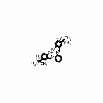 CC(C)(C)c1ccc(O)c(/C=N/[C@@H]2CCCC[C@H]2/N=C/c2cc(C(C)(C)C)ccc2O)c1